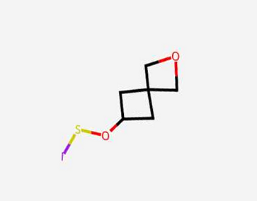 ISOC1CC2(COC2)C1